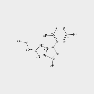 FCSc1nc2n(n1)C(c1cc(F)ccc1F)CC2F